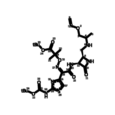 C=NOCC(C)NC[C@H]1NC(=O)[C@H]1NC(=O)/C(=N\OC(C)(C)C(=O)OC(C)(C)C)c1csc(NC(=O)OC(C)(C)C)n1